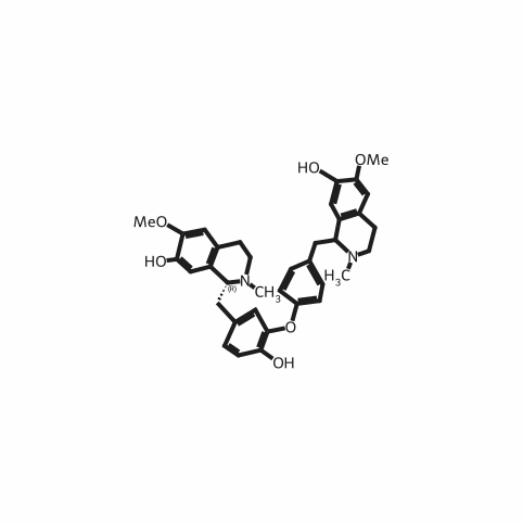 COc1cc2c(cc1O)C(Cc1ccc(Oc3cc(C[C@@H]4c5cc(O)c(OC)cc5CCN4C)ccc3O)cc1)N(C)CC2